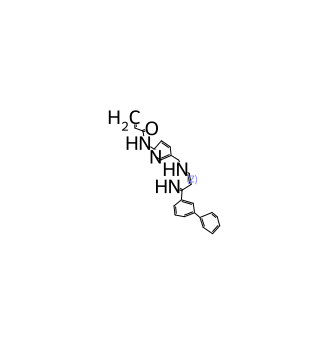 C=CC(=O)Nc1ccc(CN/C=C\C(=N)c2cccc(-c3ccccc3)c2)cn1